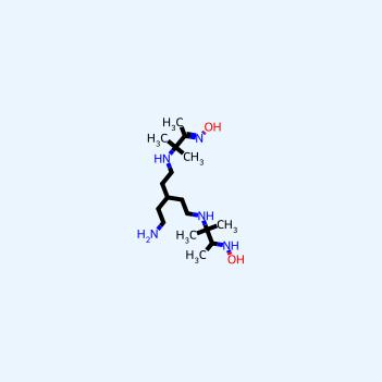 C/C(=N\O)C(C)(C)NCCC(CCN)CCNC(C)(C)C(C)NO